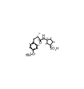 C[C@@H](Cc1ccc(OC(C)(C)C)cc1)C(=O)NC1CCC(S(=O)(=O)O)C1